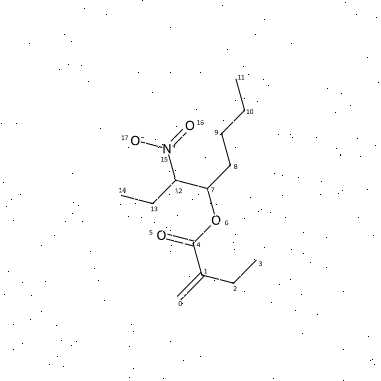 C=C(CC)C(=O)OC(CCCC)C(CC)[N+](=O)[O-]